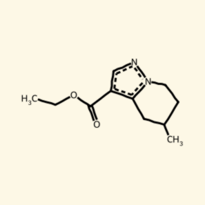 CCOC(=O)c1cnn2c1CC(C)CC2